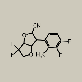 Cc1c(C2C(C#N)OC3C2OCC3(F)F)ccc(F)c1F